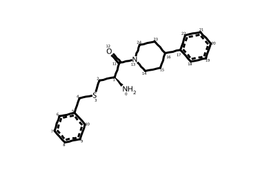 N[C@@H](CSCc1ccccc1)C(=O)N1CCC(c2ccccc2)CC1